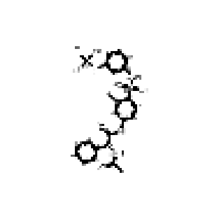 CC(=O)N[C@H](C(=O)Nc1ccc(S(=O)(=O)Nc2cccc(OC(F)(F)F)c2)c(C)c1)c1ccccc1